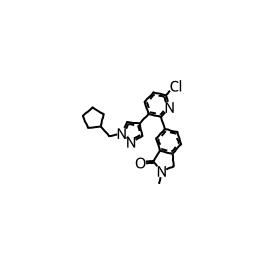 CN1Cc2ccc(-c3nc(Cl)ccc3-c3cnn(CC4CCCC4)c3)cc2C1=O